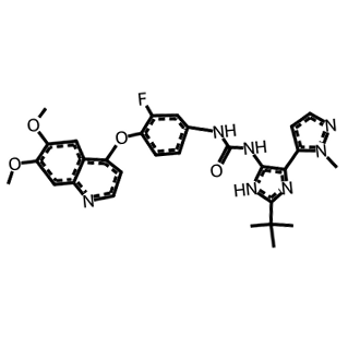 COc1cc2nccc(Oc3ccc(NC(=O)Nc4[nH]c(C(C)(C)C)nc4-c4ccnn4C)cc3F)c2cc1OC